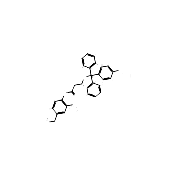 COc1ccc(C(SCCC(=O)Oc2ccc(CO)cc2OC)(c2ccccc2)c2ccccc2)cc1